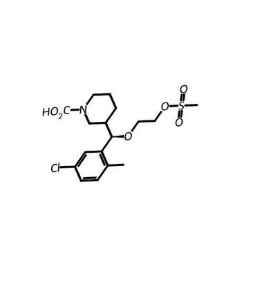 Cc1ccc(Cl)cc1[C@H](OCCOS(C)(=O)=O)C1CCCN(C(=O)O)C1